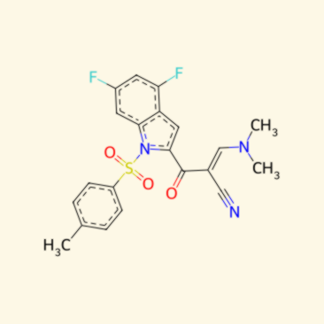 Cc1ccc(S(=O)(=O)n2c(C(=O)C(C#N)=CN(C)C)cc3c(F)cc(F)cc32)cc1